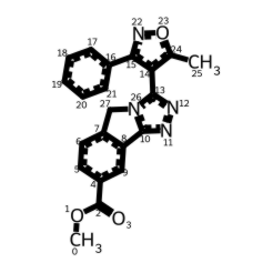 COC(=O)c1ccc2c(c1)-c1nnc(-c3c(-c4ccccc4)noc3C)n1C2